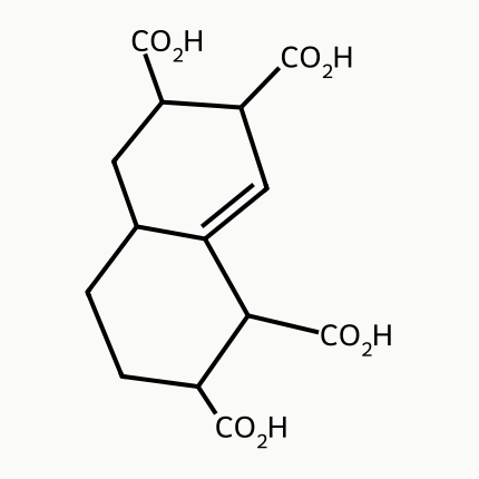 O=C(O)C1C=C2C(CCC(C(=O)O)C2C(=O)O)CC1C(=O)O